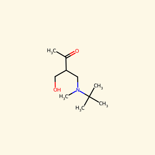 CC(=O)C(CO)CN(C)C(C)(C)C